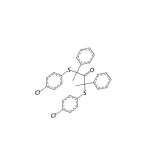 CC(Sc1ccc(Cl)cc1)(C(=O)C(C)(Sc1ccc(Cl)cc1)c1ccccc1)c1ccccc1